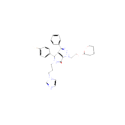 O=C1c2c(c(-c3ccccc3)nn2CCOC2CCCCO2)C(c2ccc(Br)cc2)N1CCCn1ccnc1